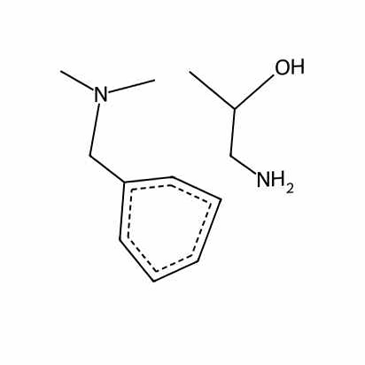 CC(O)CN.CN(C)Cc1ccccc1